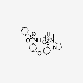 O=S(=O)(Nc1cccc(Oc2ccc3c(c2)S(O)(O)NC2CCCN32)c1)c1ccccc1